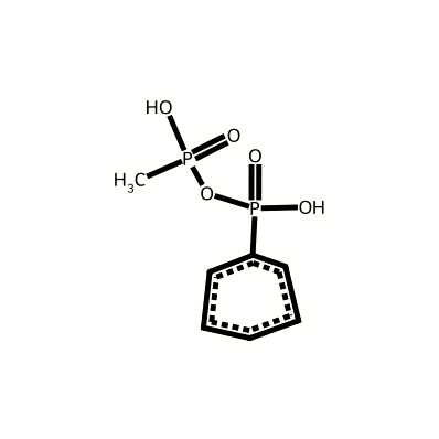 CP(=O)(O)OP(=O)(O)c1ccccc1